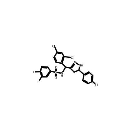 O=S(=O)(NC(C1=NNC(c2ccc(Cl)cc2)C1)c1ccc(Cl)cc1Cl)c1ccc(F)c(F)c1